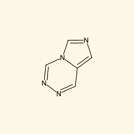 c1ncn2cnncc12